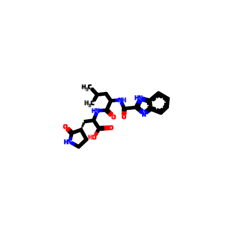 CC(C)CC(NC(=O)c1nc2ccccc2[nH]1)C(=O)NC(C[C@@H]1CCNC1=O)C(=O)O